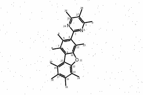 Cc1nc(-c2c(C)c(C)c3c(oc4c(C)c(C)c(C)c(C)c43)c2C)nc(C)c1C